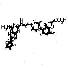 Nc1nc(NCCN2CCN(c3ccc(F)c(OCC(=O)O)c3F)CC2)nc2nc(-c3ccco3)nn12